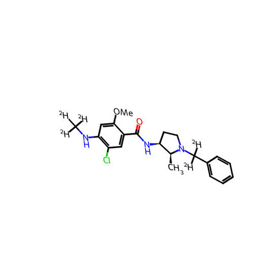 [2H]C([2H])([2H])Nc1cc(OC)c(C(=O)N[C@H]2CCN(C([2H])([2H])c3ccccc3)[C@H]2C)cc1Cl